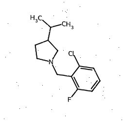 CC(C)C1CCN(Cc2c(F)cccc2Cl)C1